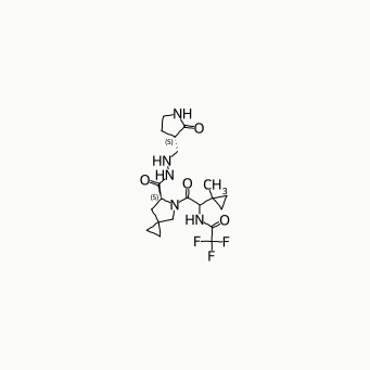 CC1(C(NC(=O)C(F)(F)F)C(=O)N2CC3(CC3)C[C@H]2C(=O)NNC[C@@H]2CCNC2=O)CC1